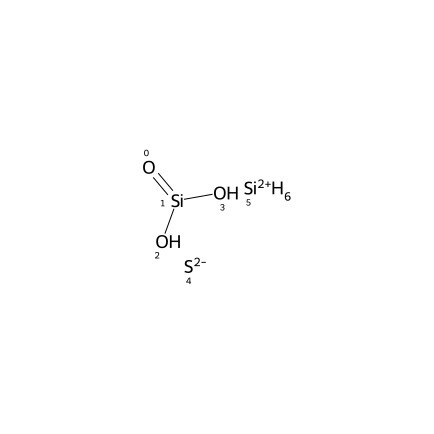 O=[Si](O)O.[S-2].[SiH6+2]